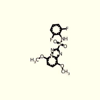 COc1ccc(OC)n2nc(S(=O)(=O)Nc3c(F)cccc3F)nc12